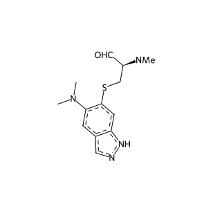 CN[C@H](C=O)CSc1cc2[nH]ncc2cc1N(C)C